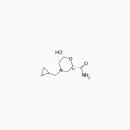 Cl.NC(=O)[C@@H]1CN(CC2CC2)CCO1